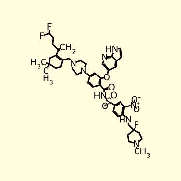 C=C(CCC(F)F)C1=C(CN2CCN(c3ccc(C(=O)NS(=O)(=O)c4ccc(NCC5(F)CCN(C)CC5)c([N+](=O)[O-])c4)c(Oc4cnc5[nH]ccc5c4)c3)CC2)CCC(C)(C)C1